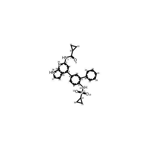 O=C(Nc1cc(-c2ccc(NS(=O)(=O)C3CC3)c(-c3ccccc3)c2)c2cc[nH]c2n1)C1CC1